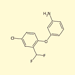 Nc1cccc(Oc2ccc(Cl)cc2C(F)F)c1